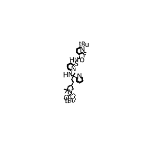 CC(C)(C)OC(=O)N1CC(CCC(C)(Nc2cccc(SNC(=O)c3ccc(C(C)(C)C)nc3F)n2)c2ccccn2)CC1(C)C